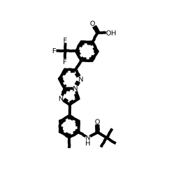 Cc1ccc(-c2cn3nc(-c4ccc(C(=O)O)cc4C(F)(F)F)ccc3n2)cc1NC(=O)C(C)(C)C